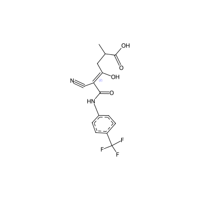 CC(C/C(O)=C(\C#N)C(=O)Nc1ccc(C(F)(F)F)cc1)C(=O)O